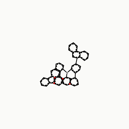 c1ccc(-c2ccccc2N(c2cc(-c3cc4ccccc4c4ccccc34)ccc2-c2ccccc2)c2ccccc2-c2cccc3c2oc2ccccc23)cc1